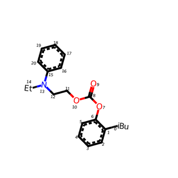 CCC(C)c1ccccc1OC(=O)OCCN(CC)c1ccccc1